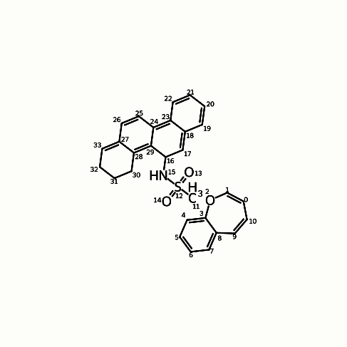 C1=COc2ccccc2C=C1.CS(=O)(=O)NC1C=c2ccccc2=c2ccc3c(c21)CCCC=3